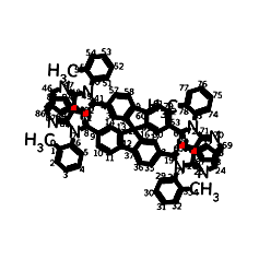 Cc1ccccc1-n1c(-c2ccc3c(c2)C2(c4cc(-c5nc6cccnc6n5-c5ccccc5C)ccc4-3)c3cc(-c4nc5cccnc5n4-c4ccccc4C)ccc3-c3ccc(-c4nc5cccnc5n4-c4ccccc4C)cc32)nc2cccnc21